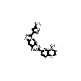 COc1cc2nnc(-c3cc(C)on3)n2nc1OCc1ccc2c(n1)N(C)CCO2